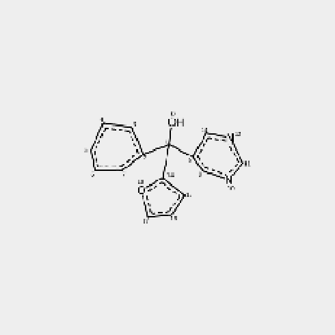 OC(c1ccccc1)(c1cncnc1)c1ccco1